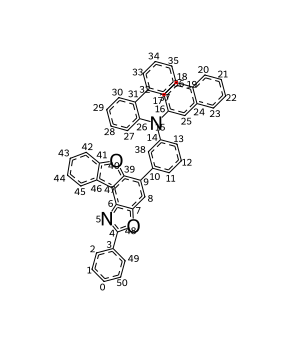 c1ccc(-c2nc3c(cc(-c4cccc(N(c5ccc6ccccc6c5)c5ccccc5-c5ccccc5)c4)c4oc5ccccc5c43)o2)cc1